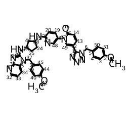 COc1ccc(Cn2nnnc2-c2ccc(=O)n(-c3ccc(N[C@H]4CC[C@H](Nc5nc6ncccc6n5Cc5ccc(OC)cc5)C4)nc3)c2)cc1